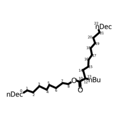 CCCCCCCCCCCCCCCCCCOC(=O)C(CCCC)CCCCCCCCCCCCCCCCCC